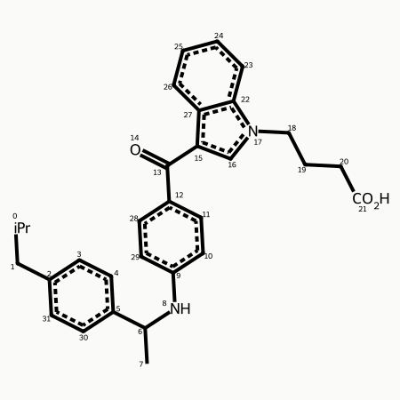 CC(C)Cc1ccc(C(C)Nc2ccc(C(=O)c3cn(CCCC(=O)O)c4ccccc34)cc2)cc1